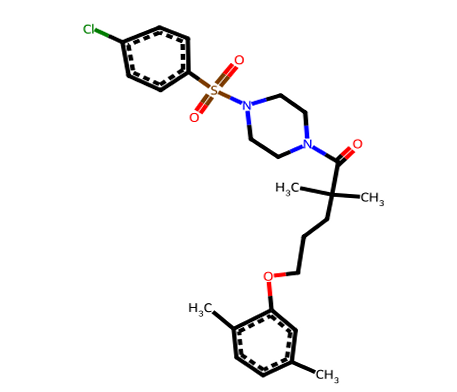 Cc1ccc(C)c(OCCCC(C)(C)C(=O)N2CCN(S(=O)(=O)c3ccc(Cl)cc3)CC2)c1